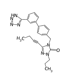 CCC#Cc1nn(CCC)c(=O)n1Cc1ccc(-c2cccc(-c3nnn[nH]3)c2)cc1